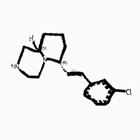 Clc1cccc(/C=C/[C@H]2CCC[C@H]3CNCCN32)c1